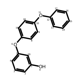 Oc1cccc(Oc2ccc(Oc3ccccc3)cc2)c1